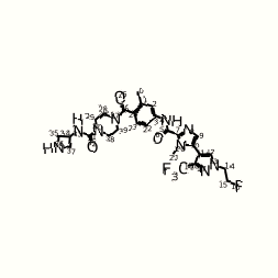 Cc1cc(NC(=O)c2ncc(-c3cn(CCF)nc3C(F)(F)F)n2C)ccc1C(=O)N1CCN(C(=O)NC2CNC2)CC1